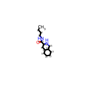 CCCCNC(=O)C1CC2CCCCC2CN1